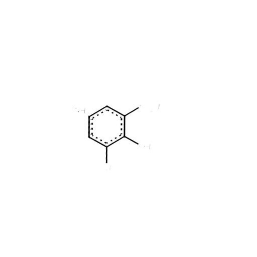 Cc1cccc(C(=O)O)c1O.N